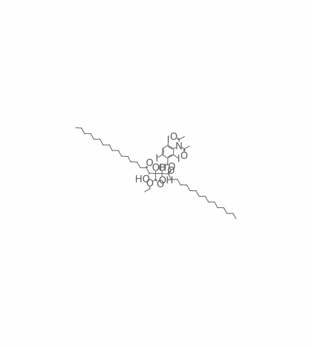 CCCCCCCCCCCCCCCC(=O)C(O)C(O)(C(=O)OCC)C(O)(OC(=O)c1c(I)cc(I)c(N(C(C)=O)C(C)=O)c1I)C(=O)CCCCCCCCCCCCCCC